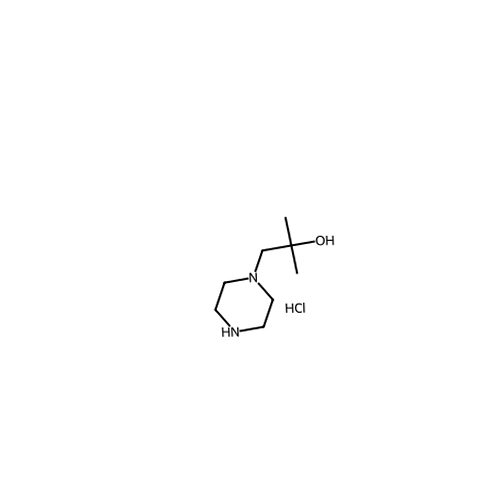 CC(C)(O)CN1CCNCC1.Cl